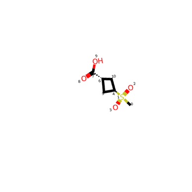 CS(=O)(=O)[C@H]1C[C@H](C(=O)O)C1